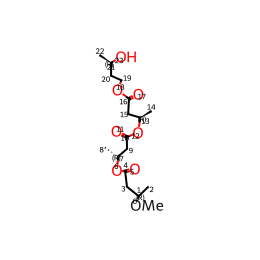 CO[C@H](C)CC(=O)O[C@H](C)CC(=O)O[C@H](C)CC(=O)OCC[C@@H](C)O